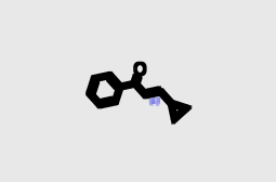 O=C(/C=C/C1CC1)c1ccccc1